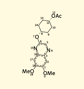 COc1cc2ncc(O[C@H]3CC[C@@H](OC(C)=O)CC3)nc2cc1OC